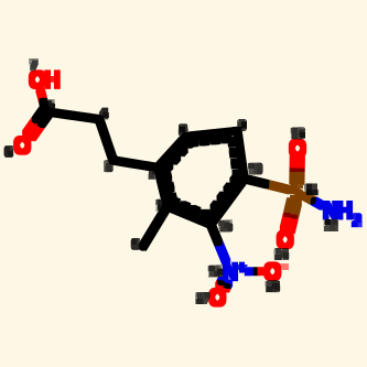 Cc1c(CCC(=O)O)ccc(S(N)(=O)=O)c1[N+](=O)[O-]